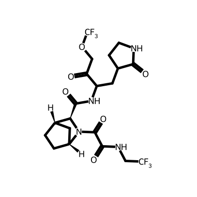 O=C(NCC(F)(F)F)C(=O)N1[C@@H]2CC[C@@H](C2)[C@H]1C(=O)NC(CC1CCNC1=O)C(=O)COC(F)(F)F